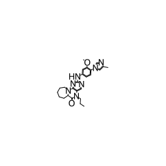 CCCN1C(=O)C2CCCCCN2c2nc(Nc3ccc(-n4cnc(C)c4)c(OC)c3)ncc21